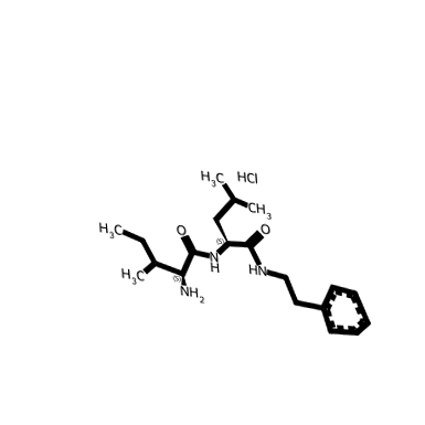 CCC(C)[C@H](N)C(=O)N[C@@H](CC(C)C)C(=O)NCCc1ccccc1.Cl